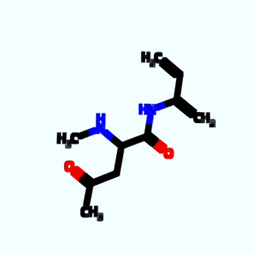 C=CC(=C)NC(=O)C(CC(C)=O)NC